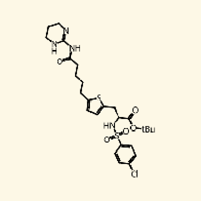 CC(C)(C)OC(=O)[C@H](Cc1ccc(CCCCC(=O)NC2=NCCCN2)s1)NS(=O)(=O)c1ccc(Cl)cc1